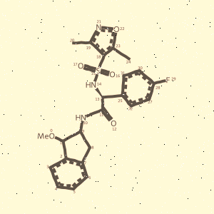 COC1c2ccccc2CC1NC(=O)[C@@H](NS(=O)(=O)c1c(C)noc1C)c1ccc(F)cc1